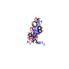 COc1ccc(C[C@H](NC(=O)[C@@H]2CSCC[C@H](NC(C)=O)C(=O)CN2)C(=O)N[C@@H](Cc2ccc3ccccc3c2)C(=O)NC(C)(CCCCN)C(=O)CN)cc1